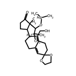 C[SiH](C)OC(C(C)(C)C)C1(C)C(=O)CCC1C1CCC2=CC3(CCC2=C1CO)OCCO3